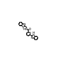 O=C(NCc1nc2ccccc2s1)c1cccc(-c2nc3ccccc3[nH]2)n1